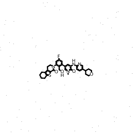 Cn1cc(-c2cc(F)cc(N3CCc4c(sc5c4CCCC5)C3=O)c2CO)cc(Nc2ccc(C3CCOCC3)cn2)c1=O